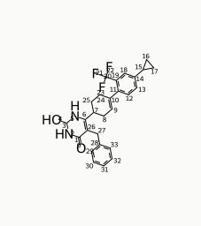 O=C1NC(O)NC(C2CC=C(c3ccc(C4CC4)cc3C(F)(F)F)CC2)=C1Cc1ccccc1